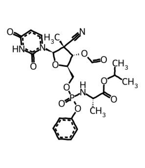 CC(C)OC(=O)[C@H](C)NP(=O)(OC[C@H]1O[C@@H](n2ccc(=O)[nH]c2=O)[C@](C)(C#N)[C@@H]1OC=O)Oc1ccccc1